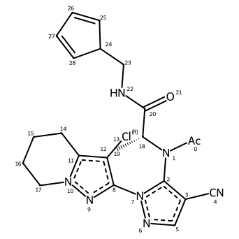 CC(=O)N(c1c(C#N)cnn1-c1nn2c(c1Cl)CCCC2)[C@H](C)C(=O)NCC1C=CC=C1